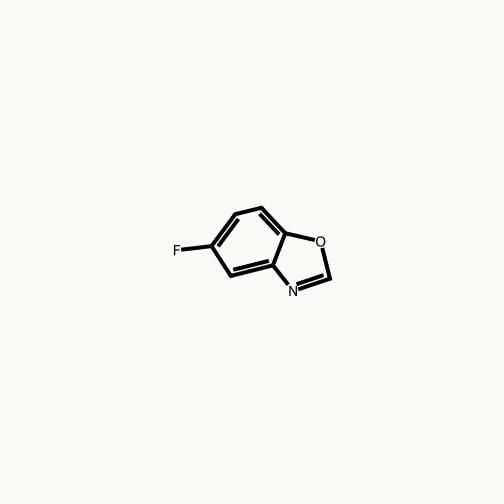 Fc1ccc2ocnc2c1